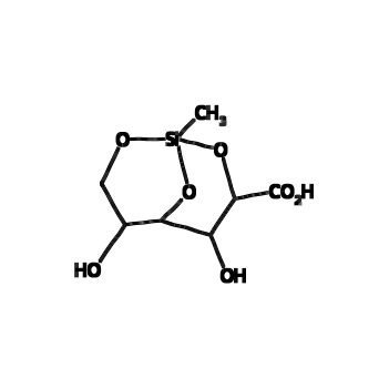 C[Si]12OCC(O)C(O1)C(O)C(C(=O)O)O2